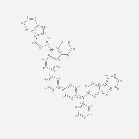 C1=Cc2oc3cc(-n4c5c(c6cc(-c7cccc(-c8ccc(N(c9ccccc9)c9ccc%10c(c9)Cc9ccccc9-%10)cc8)c7)ccc64)CCC=C5)ccc3c2CC1